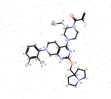 C=C(F)C(=O)N1CCN(c2nc(OCC34CCCN3CCC4)nc3c2CCN(c2cccc(Cl)c2C(F)(F)F)C3)C[C@@H]1CC#N